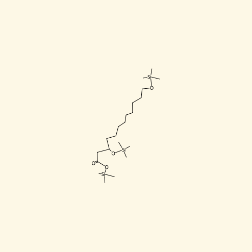 C[Si](C)(C)OCCCCCCCCCC(CC(=O)O[Si](C)(C)C)O[Si](C)(C)C